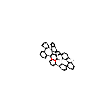 c1ccc(-c2ccccc2N(c2ccc3c(c2)C2(c4ccccc4-c4ccccc4-3)c3ccccc3-c3ccccc32)c2cccc3oc4ccccc4c23)cc1